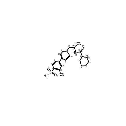 CS(=O)(=O)c1ccc(-c2ccc(C[C@@H](C#N)NC(=O)C3CCCCN3)cc2)cc1C#N